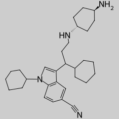 N#Cc1ccc2c(c1)c(C(CCN[C@H]1CC[C@H](N)CC1)C1CCCCC1)cn2C1CCCCC1